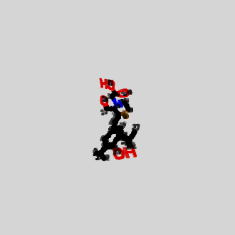 CC(C)c1cc(C=C2SCCN(CC(=O)O)C2C=O)cc(C(C)C)c1O